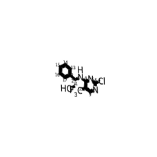 OC[C@@H](Nc1nc(Cl)ncc1C(F)(F)F)c1ccccc1